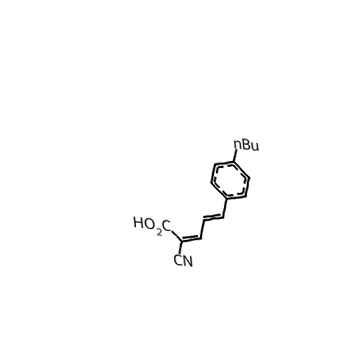 CCCCc1ccc(C=CC=C(C#N)C(=O)O)cc1